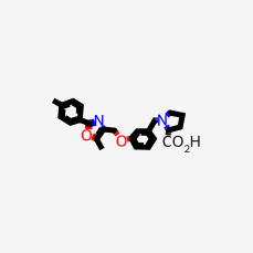 Cc1ccc(-c2nc(COc3cccc(CN4CCCC4C(=O)O)c3)c(C)o2)cc1